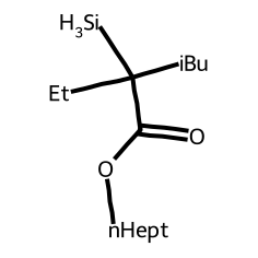 CCCCCCCOC(=O)C([SiH3])(CC)C(C)CC